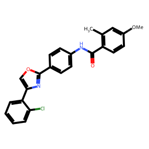 COc1ccc(C(=O)Nc2ccc(-c3nc(-c4ccccc4Cl)co3)cc2)c(C)c1